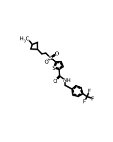 CC1CC(CCS(=O)(=O)c2ccc(C(=O)NCc3ccc(C(F)(F)F)cc3)s2)C1